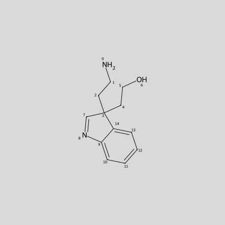 NCCC1(CCO)C=Nc2ccccc21